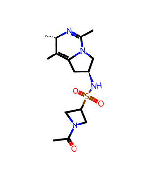 CC(=O)N1CC(S(=O)(=O)N[C@H]2CC3=C(C)[C@H](C)N=C(C)N3C2)C1